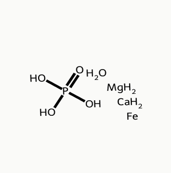 O.O=P(O)(O)O.[CaH2].[Fe].[MgH2]